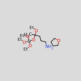 C1CCOC1.CCOC(C)(CCCN)O[Si](OCC)(OCC)OCC